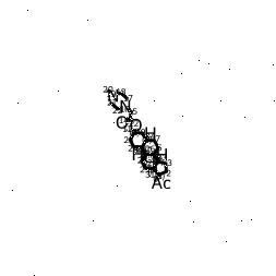 CC(=O)[C@H]1CC[C@H]2[C@@H]3CC[C@H]4C[C@](C)(OC(=O)CN5CCN(C)CC5)CC[C@]4(C)[C@H]3CC[C@]12C